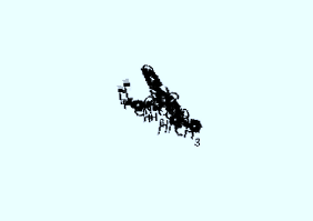 CC1NCCN(C(=O)N2CCN(c3c4n(c5nc(C6=CCOCC6)nn5c3=O)[C@H](C(=O)Nc3ccc(C(F)(F)F)cc3Cl)C[C@H]4C)C[C@H]2C)C1OCc1ccccc1